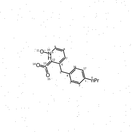 CCCc1ccc(CC2=CC=C[NH+]([O-])C2=S(=O)=O)cc1